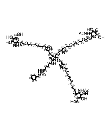 CC(=O)N[C@H]1[C@H](OCCOCCOCCOCCn2cc(COCC(COCc3cn(CCOCCOCCOCCO[C@@H]4O[C@H](CO)[C@H](O)[C@H](O)[C@H]4NC(C)=O)nn3)(COCc3cn(CCOCCOCCOCCO[C@@H]4O[C@H](CO)[C@H](O)[C@H](O)[C@H]4NC(C)=O)nn3)NC(=O)CCCCCNC(=O)OCc3ccccc3)nn2)O[C@H](CO)[C@H](O)[C@@H]1O